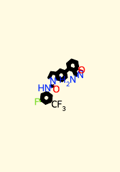 Nc1noc2cccc(-c3ccc4c(c3)CCN4C(=O)Nc3cc(F)cc(C(F)(F)F)c3)c12